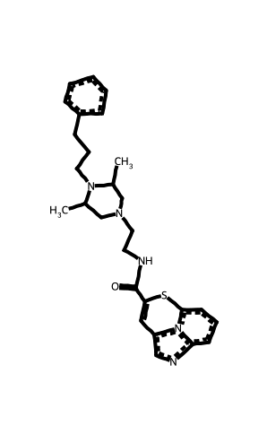 CC1CN(CCNC(=O)C2=Cc3cnc4cccc(n34)S2)CC(C)N1CCCc1ccccc1